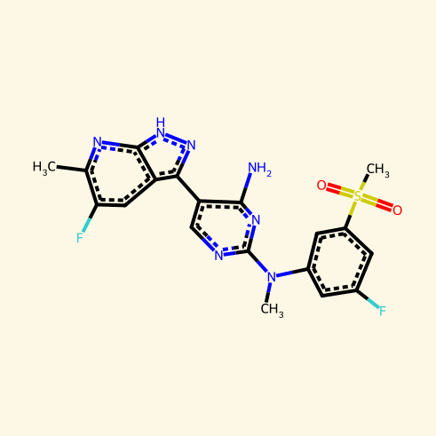 Cc1nc2[nH]nc(-c3cnc(N(C)c4cc(F)cc(S(C)(=O)=O)c4)nc3N)c2cc1F